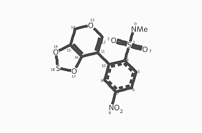 CNS(=O)(=O)c1ccc([N+](=O)[O-])cc1C1=COCC2=C1OSO2